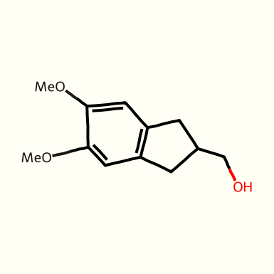 COc1cc2c(cc1OC)CC(CO)C2